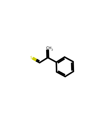 C=C(C=S)c1ccccc1